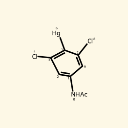 CC(=O)Nc1cc(Cl)[c]([Hg])c(Cl)c1